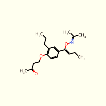 CC/C=C(\ON=C(C)C)c1ccc(OCCC(C)=O)c(CCC)c1